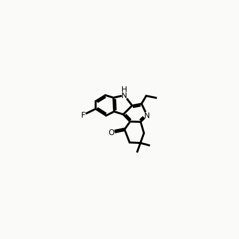 CCc1nc2c(c3c1[nH]c1ccc(F)cc13)C(=O)CC(C)(C)C2